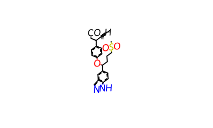 CC#CC(CC(=O)O)c1ccc(OC(CCCS(C)(=O)=O)c2ccc3[nH]ncc3c2)cc1